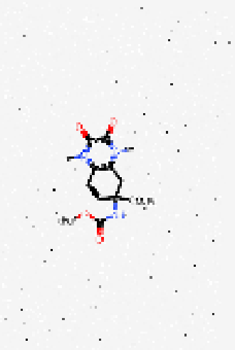 CCOC(=O)C1(NC(=O)OC(C)(C)C)C=Cc2c(n(C)c(=O)c(=O)n2C)C1